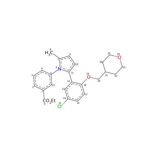 CCOC(=O)c1cccc(-n2c(C)ccc2-c2cc(Cl)ccc2OCC2CCOCC2)c1